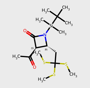 CSC(C[C@@H]1[C@@H](C(C)=O)C(=O)N1[Si](C)(C)C(C)(C)C)(SC)SC